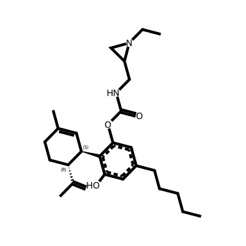 C=C(C)[C@@H]1CCC(C)=C[C@H]1c1c(O)cc(CCCCC)cc1OC(=O)NCC1CN1CC